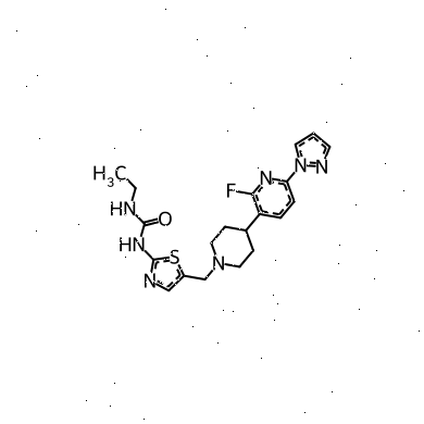 CCNC(=O)Nc1ncc(CN2CCC(c3ccc(-n4cccn4)nc3F)CC2)s1